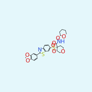 O=C(NOC1CCCCO1)C1(S(=O)(=O)c2ccc3nc(-c4ccc5c(c4)OCO5)sc3c2)CCOCC1